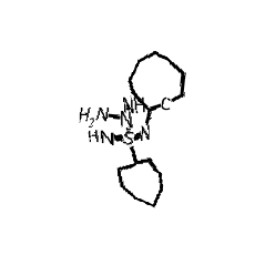 N=S(=NC1CCCCCCCC1)(C1CCCCCCC1)N(N)N